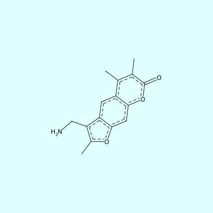 Cc1oc2cc3oc(=O)c(C)c(C)c3cc2c1CN